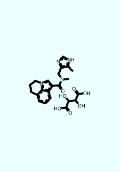 Cc1[nH]cnc1CN(C)C(=O)c1cn2c3c(cccc13)CCC2.O=C(O)C(O)C(O)C(=O)O